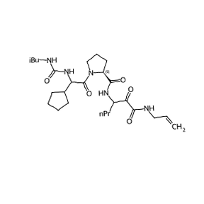 C=CCNC(=O)C(=O)C(CCC)NC(=O)[C@@H]1CCCN1C(=O)C(NC(=O)NC(C)CC)C1CCCC1